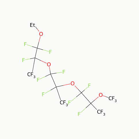 CCOC(F)(F)C(F)(OC(F)(F)C(F)(OC(F)(F)C(F)(OC(F)(F)F)C(F)(F)F)C(F)(F)F)C(F)(F)F